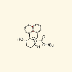 CC(C)(C)OC(=O)[C@H]1C[C@@]2(c3ccccc3)[C@@H](O)CC[C@@H]1N2Cc1ccccc1